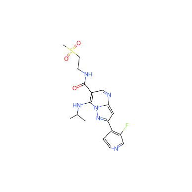 CC(C)Nc1c(C(=O)NCCS(C)(=O)=O)cnc2cc(-c3ccncc3F)nn12